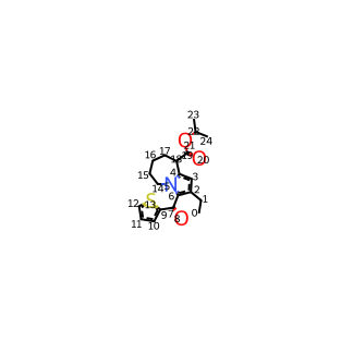 CCc1cc2n(c1C(=O)c1cccs1)CCCCC2C(=O)OC(C)C